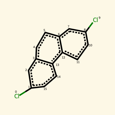 Clc1[c]c2ccc3cc(Cl)[c]cc3c2cc1